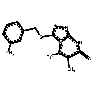 Cc1cccc(CSc2nnc3[nH]c(=O)c(C)c(C)n23)c1